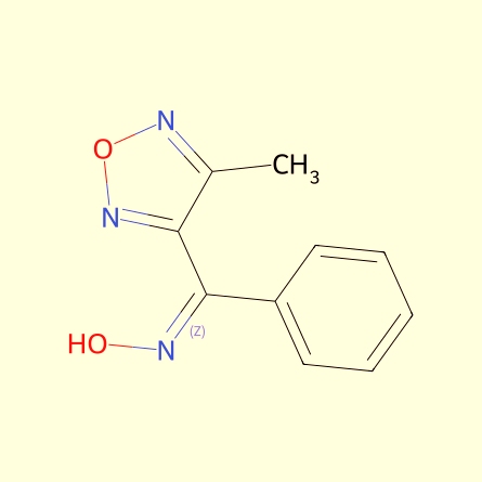 Cc1nonc1/C(=N\O)c1ccccc1